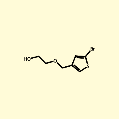 OCCOCc1csc(Br)c1